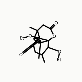 CCOC1C(C)CCC2(OCC)C3(C)CC(=O)OC12C1=C(C)C(=O)CC13